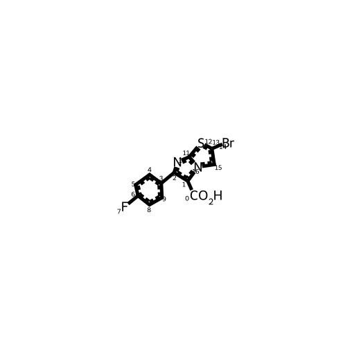 O=C(O)c1c(-c2ccc(F)cc2)nc2sc(Br)cn12